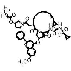 CNC(=O)O[C@H]1CCN(C(=O)C[C@H]2CCCCCC=CC3C[C@@]3(C(=O)NS(=O)(=O)C3CC3)NC(=O)[C@@H]3C[C@@H](Oc4cc(-c5ccccc5)nc5cc(OC)ccc45)CN3C2=O)C1